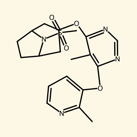 Cc1ncccc1Oc1ncnc(OC2CC3CCC(C2)N3S(C)(=O)=O)c1C